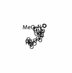 COC(=O)C=CN(C)C(C(=O)N[C@@H]1C(=O)N2[C@@H]1SC(C)(C)[C@@H]2C(=O)OCOC(=O)[C@@H]1N2C(=O)C[C@H]2S(=O)(=O)C1(C)C)c1ccccc1